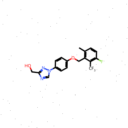 Cc1ccc(F)c(C(F)(F)F)c1COc1ccc(-n2cnc(CO)n2)cc1